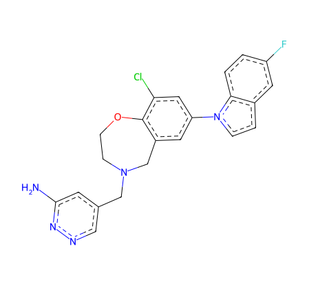 Nc1cc(CN2CCOc3c(Cl)cc(-n4ccc5cc(F)ccc54)cc3C2)cnn1